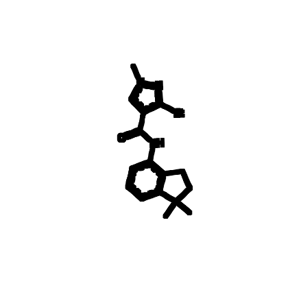 CCc1nn(C)cc1C(=O)Nc1cccc2c1CCC2(C)C